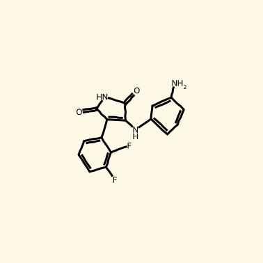 Nc1cccc(NC2=C(c3cccc(F)c3F)C(=O)NC2=O)c1